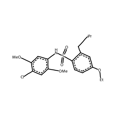 CCOc1ccc(S(=O)(=O)Nc2cc(OC)c(Cl)cc2OC)c(CC(C)C)c1